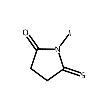 O=C1CCC(=S)N1I